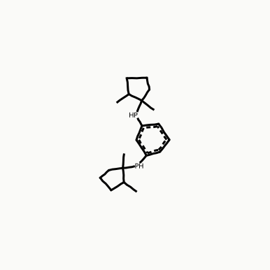 CC1CCCC1(C)Pc1cccc(PC2(C)CCCC2C)c1